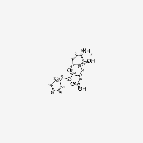 Nc1cccc(CC(CC(=O)O)C(=O)OCc2ccccc2)c1O